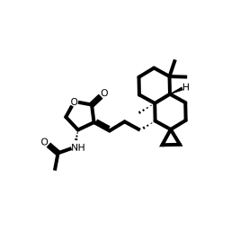 CC(=O)N[C@@H]1COC(=O)/C1=C\CC[C@H]1C2(CC[C@H]3C(C)(C)CCC[C@@]31C)CC2